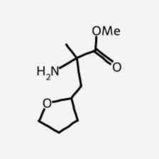 COC(=O)C(C)(N)CC1CCCO1